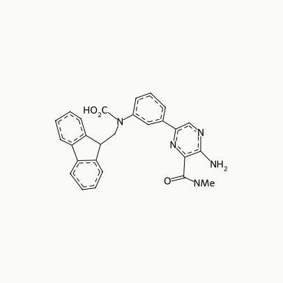 CNC(=O)c1nc(-c2cccc(N(CC3c4ccccc4-c4ccccc43)C(=O)O)c2)cnc1N